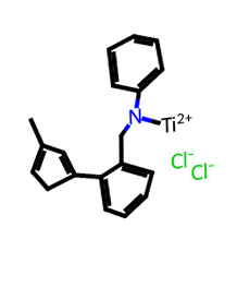 CC1=CCC(c2ccccc2C[N]([Ti+2])c2ccccc2)=C1.[Cl-].[Cl-]